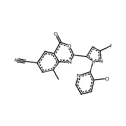 Cc1cc(C#N)cc2c(=O)oc(-c3cc(I)nn3-c3ncccc3Cl)nc12